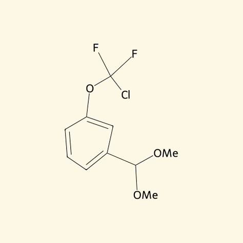 COC(OC)c1cccc(OC(F)(F)Cl)c1